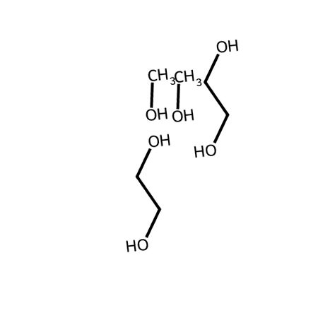 CO.CO.OCCO.OCCO